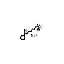 O=S(=O)([O-])CCCCCCNc1ccccc1.[Na+]